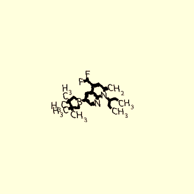 C=C1C=C(C(F)F)c2cc(B3CC(C)(C)C(C)(C)C3)cnc2N1C(CC)CC